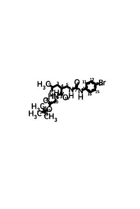 CC(C)CC(CNC(=O)Nc1ccc(Br)cc1)C(=O)NCC(=O)OC(C)(C)C